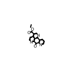 CCOC(=O)c1cnc2c3c(nccc13)C(=O)c1ncccc1-2